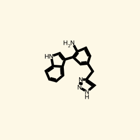 Nc1ccc(Cc2c[nH]nn2)cc1-c1c[nH]c2ccccc12